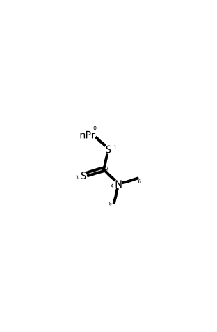 [CH2]CCSC(=S)N(C)C